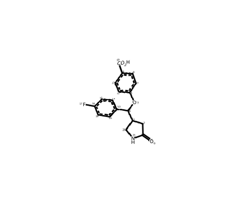 O=C1CC(C(Oc2ccc(C(=O)O)cc2)c2ccc(F)cc2)CN1